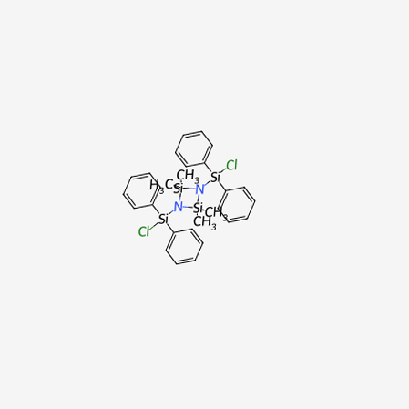 C[Si]1(C)N([Si](Cl)(c2ccccc2)c2ccccc2)[Si](C)(C)N1[Si](Cl)(c1ccccc1)c1ccccc1